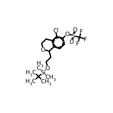 CC(C)(C)[Si](C)(C)OCCC1OCCc2c1ccc(OS(=O)(=O)C(F)(F)F)c2Cl